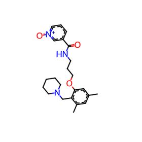 Cc1cc(C)c(CN2CCCCC2)c(OCCCNC(=O)c2ccc[n+]([O-])c2)c1